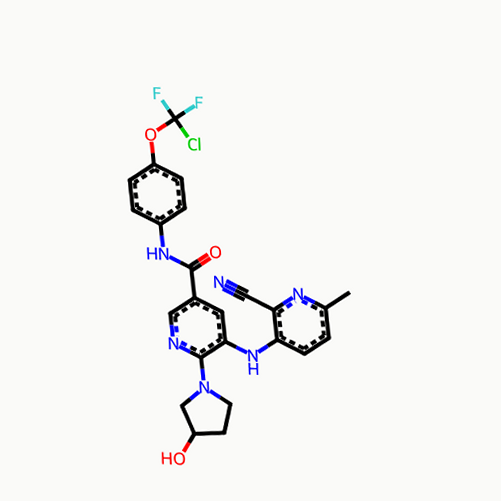 Cc1ccc(Nc2cc(C(=O)Nc3ccc(OC(F)(F)Cl)cc3)cnc2N2CCC(O)C2)c(C#N)n1